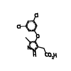 Cc1n[nH]c(CC(=O)O)c1Oc1cc(Cl)cc(Cl)c1